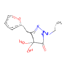 CCN1N=C(c2ccco2)C(O)(O)C1=O